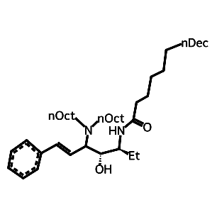 CCCCCCCCCCCCCCCC(=O)N[C@@H](CC)[C@H](O)C(/C=C/c1ccccc1)N(CCCCCCCC)CCCCCCCC